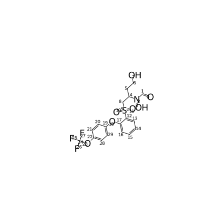 O=CN(O)C(CCO)CS(=O)(=O)c1ccccc1Oc1ccc(OC(F)(F)F)cc1